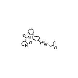 CC(=NOCC=C(Cl)Cl)c1ccc(-c2ccccc2NC(=O)c2cccnc2Cl)cc1